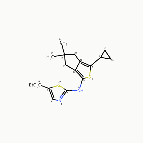 CCOC(=O)c1cnc(Nc2sc(C3CC3)c3c2CC(C)(C)C3)s1